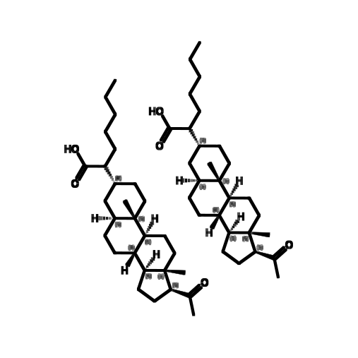 CCCCCC(C(=O)O)[C@@H]1CC[C@@]2(C)[C@@H](CC[C@@H]3[C@@H]2CC[C@]2(C)[C@@H](C(C)=O)CC[C@@H]32)C1.CCCCCC(C(=O)O)[C@@H]1CC[C@@]2(C)[C@@H](CC[C@@H]3[C@@H]2CC[C@]2(C)[C@@H](C(C)=O)CC[C@@H]32)C1